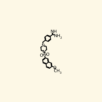 COc1ccc2ccc(S(=O)(=O)N3CCN(Cc4ccc(C(=N)N)cc4)CC3)cc2c1